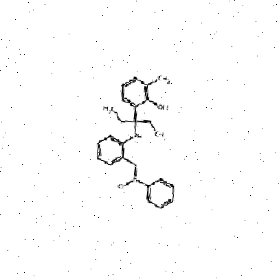 CCC(CC)(Pc1ccccc1CN(Cl)c1ccccc1)c1cccc(C)c1O